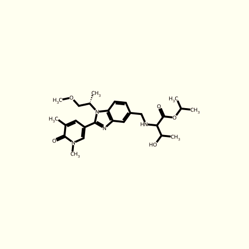 COC[C@H](C)n1c(-c2cc(C)c(=O)n(C)c2)nc2cc(CNC(C(=O)OC(C)C)C(C)O)ccc21